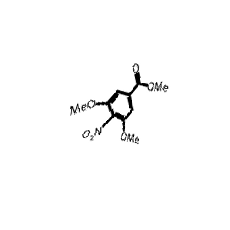 COC(=O)c1cc(OC)c([N+](=O)[O-])c(OC)c1